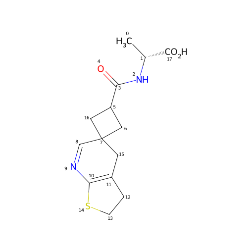 C[C@@H](NC(=O)C1CC2(C=NC3=C(CCS3)C2)C1)C(=O)O